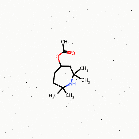 CC(=O)OC1CCC(C)(C)NC(C)(C)C1